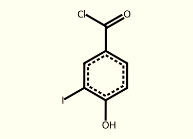 O=C(Cl)c1ccc(O)c(I)c1